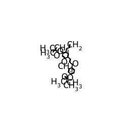 C=CCc1cc(C=CC(=O)c2ccc(OC(=O)C(C)(C)C)cc2)c(OCC)cc1OC(=O)C(C)(C)C